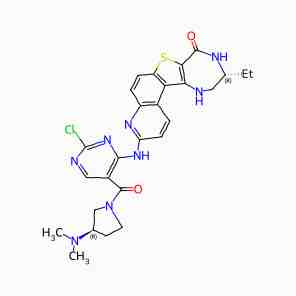 CC[C@@H]1CNc2c(sc3ccc4nc(Nc5nc(Cl)ncc5C(=O)N5CC[C@@H](N(C)C)C5)ccc4c23)C(=O)N1